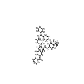 CN(c1ccncc1)c1ccc(CN(C(=O)/C=C/c2ccc(C(F)(F)F)cc2)C2CCN(CC(c3ccccc3)c3ccccc3)CC2)cc1